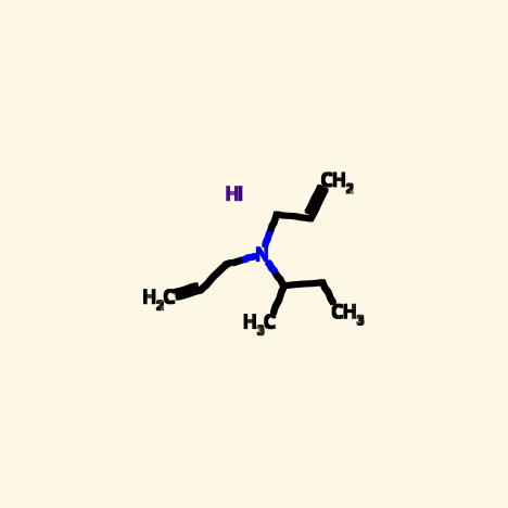 C=CCN(CC=C)C(C)CC.I